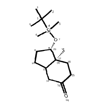 CC(C)(C)[Si](C)(C)O[C@H]1CCC2CC(=O)CC[C@@]21C